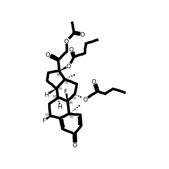 CCCC(=O)O[C@H]1C[C@@]2(C)[C@@H](CC[C@]2(OC(=O)CCC)C(=O)COC(C)=O)[C@@H]2C[C@H](F)C3=CC(=O)C=C[C@]3(C)[C@@]12F